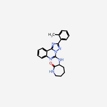 Cc1ccccc1-c1nc2c3ccccc3nc(N[C@H]3CCCCNC3=O)n2n1